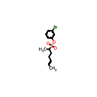 CC=CCCC(C)S(=O)(=O)Oc1cccc(Br)c1